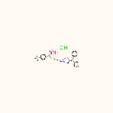 CC(C)(C)c1ccc(C(CCCCCN2CCC(=C(c3ccccc3)c3ccccc3)CC2)=NO)cc1.Cl